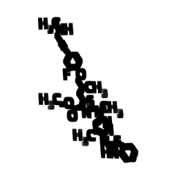 CCOC(=O)c1nc(N(C)c2cc(C)c(Nc3nc4ccccc4s3)nn2)sc1/C=C(\C)COc1ccc(C#CCNC)cc1F